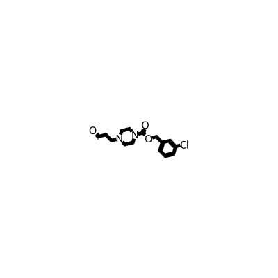 O=[C]CCN1CCN(C(=O)OCc2cccc(Cl)c2)CC1